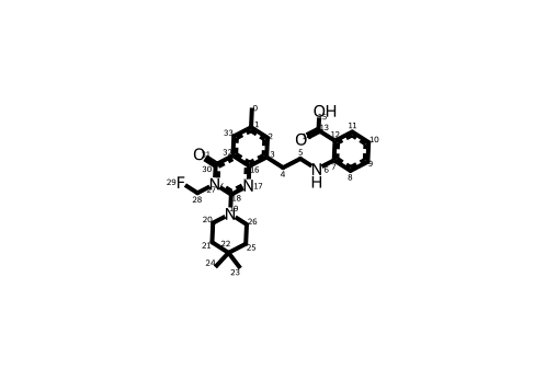 Cc1cc(CCNc2ccccc2C(=O)O)c2nc(N3CCC(C)(C)CC3)n(CF)c(=O)c2c1